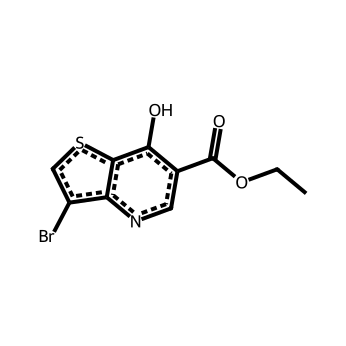 CCOC(=O)c1cnc2c(Br)csc2c1O